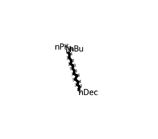 CCCCCCCCCCCCCCCCCCCCCCCCCN(CCC)CCCC